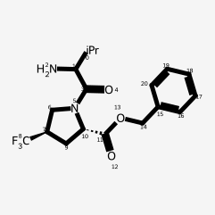 CC(C)C(N)C(=O)N1C[C@H](C(F)(F)F)C[C@H]1C(=O)OCc1ccccc1